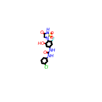 O=C1CN(c2c(O)cc(NC(=O)Nc3cccc(Cl)c3)cc2F)S(=O)(=O)N1